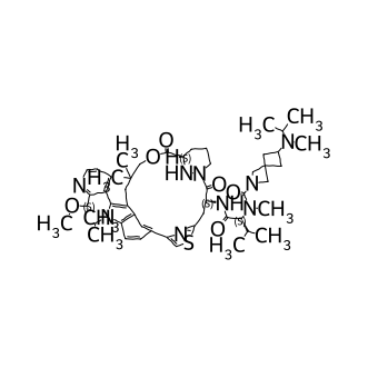 CCn1c(-c2cccnc2[C@H](C)OC)c2c3cc(ccc31)-c1csc(n1)C[C@H](NC(=O)[C@H](C(C)C)N(C)C(=O)N1CC3(CC(N(C)C(C)C)C3)C1)C(=O)N1CCC[C@H](N1)C(=O)OCC(C)(C)C2